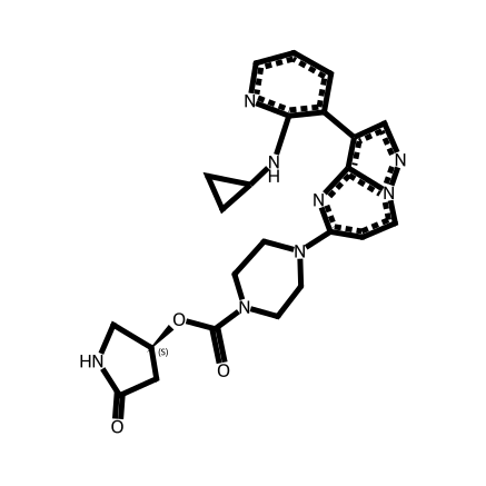 O=C1C[C@H](OC(=O)N2CCN(c3ccn4ncc(-c5cccnc5NC5CC5)c4n3)CC2)CN1